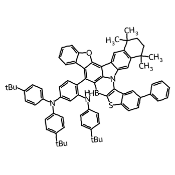 CC(C)(C)c1ccc(Nc2cc(N(c3ccc(C(C)(C)C)cc3)c3ccc(C(C)(C)C)cc3)ccc2-c2c3c4c(c5cc6c(cc5n4-c4c(sc5ccc(-c7ccccc7)cc45)B3)C(C)(C)CCC6(C)C)c3oc4ccccc4c23)cc1